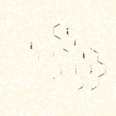 CCC(=O)N1CCN(C2CCC(n3c(=O)ccc4cnc5ccc(-c6cnc7ccccc7c6)cc5c43)CC2C(F)(F)F)CC1